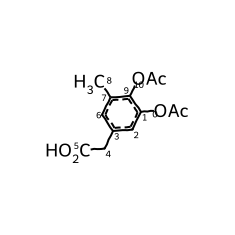 CC(=O)Oc1cc(CC(=O)O)cc(C)c1OC(C)=O